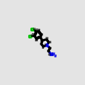 NCCN1CCC(c2ccc(Cl)c(Cl)c2)CC1